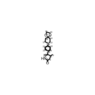 CC1CC(=O)NN=C1c1ccc(N2CCC3(CC2)OCCO3)cc1